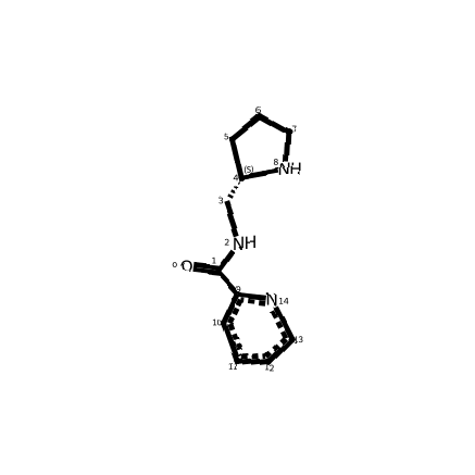 O=C(NC[C@@H]1CCCN1)c1ccccn1